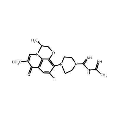 CC(=N)NC(=N)N1CCN(c2c(F)cc3c(=O)c(C(=O)O)cn4c3c2OC[C@@H]4C)CC1